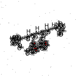 CC(=O)NC1C(OC(C)=O)[C@@H](OC(C)=O)C(COC(C)=O)O[C@H]1OCCCCC(=O)NCCN(CCNCCN(CCNC(=O)CCCCO[C@@H]1OC(COC(C)=O)[C@H](OC(C)=O)C(OC(C)=O)[C@@H]1NC(C)=O)C(=O)CCCCO[C@@H]1OC(COC(C)=O)[C@H](OC(C)=O)C(OC(C)=O)C1NC(C)=O)C(=O)CCCCO[C@@H]1OC(COC(C)=O)[C@H](OC(C)=O)C(OC(C)=O)C1NC(C)=O